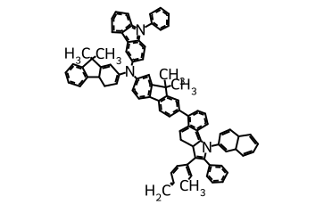 C=C/C=C\C(=C/C)C1=C(c2ccccc2)N(C2=CC3C=CC=CC3C=C2)C2=c3cccc(-c4ccc5c(c4)C(C)(C)c4cc(N(C6=CCC7C(=C6)C(C)(C)c6ccccc67)c6ccc7c(c6)c6ccccc6n7-c6ccccc6)ccc4-5)c3=CCC12